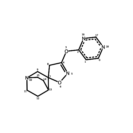 c1cc(OC2=NOC3(C2)CN2CCC3CC2)ncn1